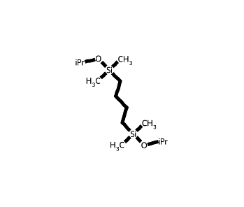 CC(C)O[Si](C)(C)CCCC[Si](C)(C)OC(C)C